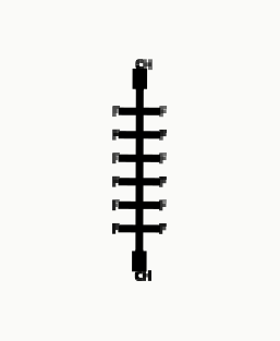 C#CC(F)(F)C(F)(F)C(F)(F)C(F)(F)C(F)(F)C(F)(F)C#C